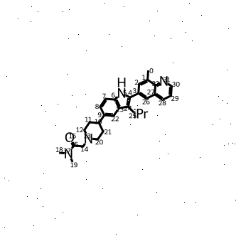 Cc1cc(-c2[nH]c3ccc(C4CCN(CC(=O)N(C)C)CC4)cc3c2C(C)C)cc2cccnc12